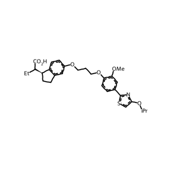 CCC(C(=O)O)[C@@H]1CCc2cc(OCCCOc3ccc(-c4nc(OC(C)C)cs4)cc3OC)ccc21